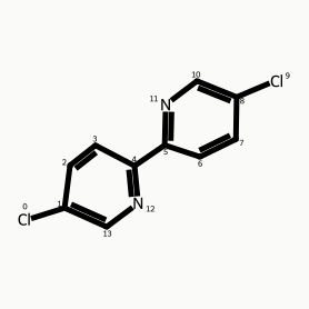 Clc1ccc(-c2ccc(Cl)cn2)nc1